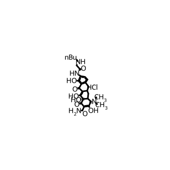 CCCCNCC(=O)Nc1ccc2c(c1O)C(=O)C1=C(O)[C@]3(O)C(=O)C(C(N)=O)=C(O)[C@@H](N(C)C)C3CC1C2.Cl